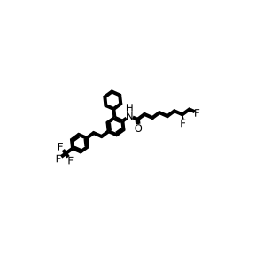 O=C(CCCCC[C@H](F)CF)Nc1ccc(CCc2ccc(C(F)(F)F)cc2)cc1C1CCCCC1